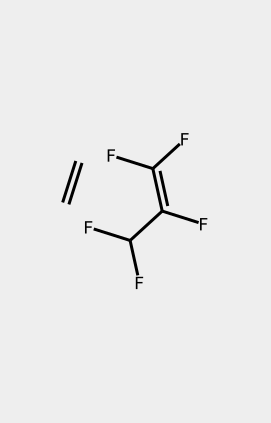 C=C.FC(F)=C(F)C(F)F